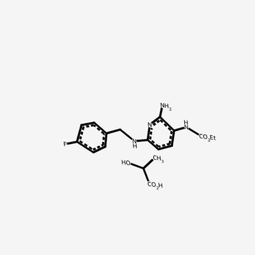 CC(O)C(=O)O.CCOC(=O)Nc1ccc(NCc2ccc(F)cc2)nc1N